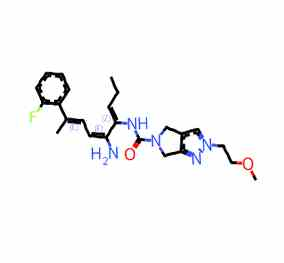 CC/C=C(NC(=O)N1Cc2cn(CCOC)nc2C1)/C(N)=C\C=C(/C)c1ccccc1F